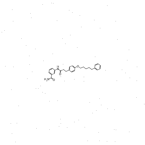 NC(=O)c1cccc(NC(=O)CCc2ccc(OCCCCCc3ccccc3)cc2)c1